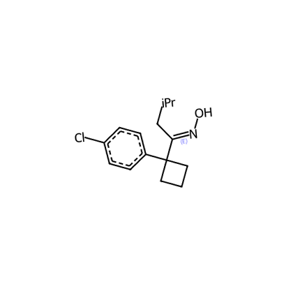 CC(C)C/C(=N\O)C1(c2ccc(Cl)cc2)CCC1